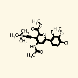 COC(=O)c1nc(-c2ccc(Cl)c(OC)c2F)cc(NC(C)=O)c1C#C[Si](C)(C)C